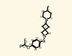 CC1CCN(C2CC3(C2)CN(Sc2ccc(OC(F)F)cc2)C3)CC1